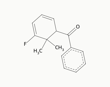 CC1(C)C(F)=CC=CC1C(=O)c1ccccc1